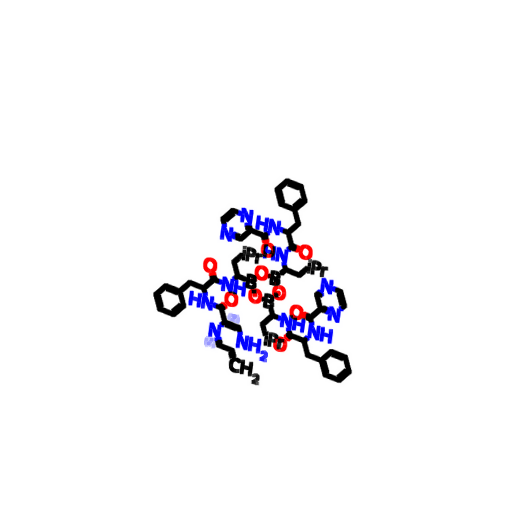 C=C/C=N\C(=C/N)C(=O)NC(Cc1ccccc1)C(=O)NC(CC(C)C)B1OB(C(CC(C)C)NC(=O)C(Cc2ccccc2)NC(=O)c2cnccn2)OB(C(CC(C)C)NC(=O)C(Cc2ccccc2)NC(=O)c2cnccn2)O1